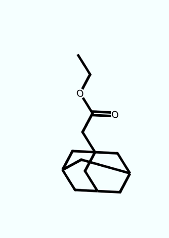 CCOC(=O)CC12CC3CC(CC(C3)C1)C2